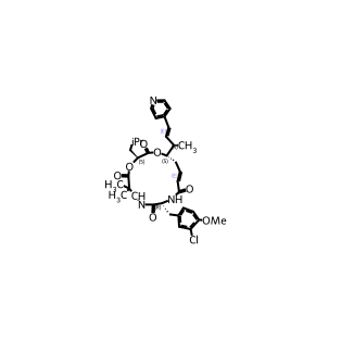 COc1ccc(C[C@H]2NC(=O)/C=C/C[C@@H]([C@H](C)/C=C/c3ccncc3)OC(=O)[C@H](CC(C)C)OC(=O)C(C)(C)CNC2=O)cc1Cl